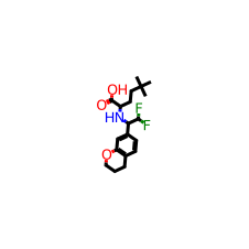 CC(C)(C)CCC(NC(c1ccc2c(c1)OCCC2)C(F)F)C(=O)O